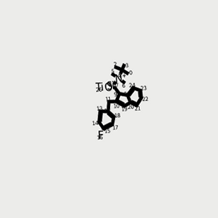 CC(C)(C)[N+](C)(C)[Si](=O)C1C(Cc2ccc(F)cc2)=Cc2ccccc21.[Ti]